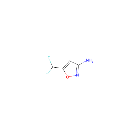 Nc1cc(C(F)F)on1